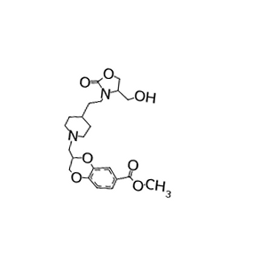 COC(=O)c1ccc2c(c1)OC(CN1CCC(CCN3C(=O)OCC3CO)CC1)CO2